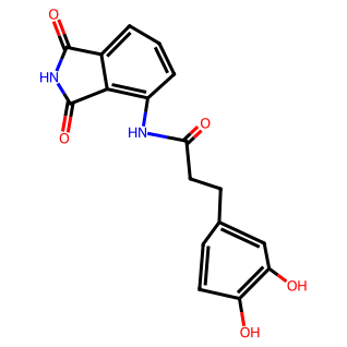 O=C(CCc1ccc(O)c(O)c1)Nc1cccc2c1C(=O)NC2=O